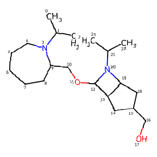 CC(C)N1CCCCCC1COC1C2CC(CO)CC2N1C(C)C